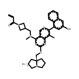 C=CC(=O)N1CC(CN(C)c2nc(OC[C@@]34CCCN3C[C@H](F)C4)nc3c(F)c(-c4cc(O)cc5ccccc45)ncc23)C1